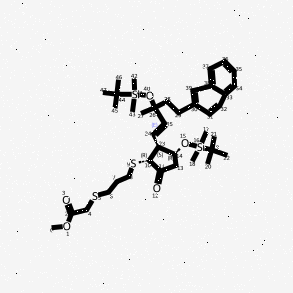 COC(=O)CSCCCS[C@H]1C(=O)C[C@@H](O[Si](C)(C)C(C)(C)C)[C@@H]1/C=C/C(C)(CCc1ccc2ccccc2c1)O[Si](C)(C)C(C)(C)C